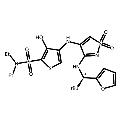 CCN(CC)S(=O)(=O)c1scc(NC2=CS(=O)(=O)N=C2N[C@@H](c2ccco2)C(C)(C)C)c1O